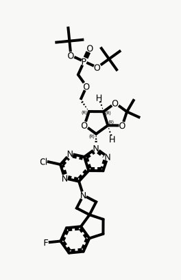 CC(C)(C)OP(=O)(COC[C@H]1O[C@@H](n2ncc3c(N4CC5(CCc6ccc(F)cc65)C4)nc(Cl)nc32)[C@@H]2OC(C)(C)O[C@@H]21)OC(C)(C)C